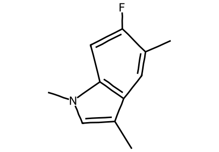 Cc1cc2c(C)cn(C)c2cc1F